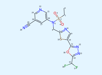 CCS(=O)(=O)N(Cc1ncc(-c2nnc(C(F)F)o2)s1)c1cncc(C#N)c1